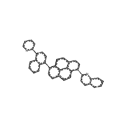 c1ccc(-c2ccc(-c3ccc4ccc5c(-c6ccc7ccccc7n6)ccc6ccc3c4c65)c3ccccc23)nc1